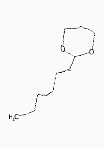 CCCCCCC1OCCCO1